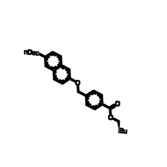 CCCCCCCCCCc1ccc2cc(OCc3ccc(C(=O)OC[C@H](C)CC)cc3)ccc2c1